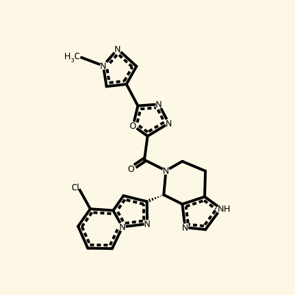 Cn1cc(-c2nnc(C(=O)N3CCc4[nH]cnc4[C@@H]3c3cc4c(Cl)cccn4n3)o2)cn1